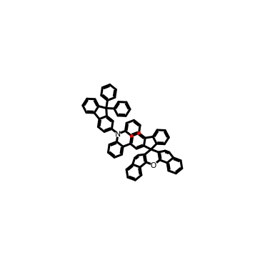 c1ccc(N(c2ccc3c(c2)C(c2ccccc2)(c2ccccc2)c2ccccc2-3)c2ccccc2-c2ccc3c(c2)C2(c4ccccc4-3)c3ccc4ccccc4c3Oc3c2ccc2ccccc32)cc1